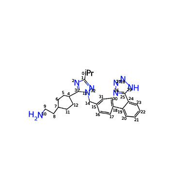 CC(C)c1nc(C2CCC(CCN)CC2)n(Cc2ccc(-c3ccccc3-c3nnn[nH]3)cc2)n1